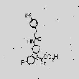 CCC(C(=O)O)n1c2c(c3cc(F)ccc31)CC(NC(=O)CCc1ccc(C(C)C)cc1)CC2